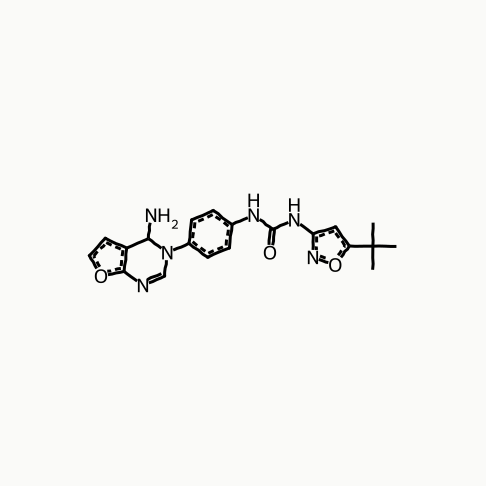 CC(C)(C)c1cc(NC(=O)Nc2ccc(N3C=Nc4occc4C3N)cc2)no1